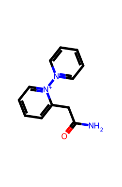 NC(=O)Cc1cccc[n+]1-[n+]1ccccc1